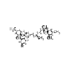 Cc1cc(C)cc(CN(CCCCN(C)CCC[N+](C)(C)Cc2cc(C)cc(C)c2)S(=O)(=O)c2ccc(Br)cc2)c1